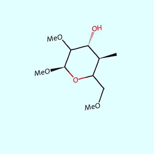 COCC1O[C@@H](OC)C(OC)[C@H](O)[C@H]1C